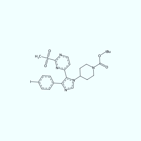 CC(C)(C)OC(=O)N1CCC(n2cnc(-c3ccc(I)cc3)c2-c2ccnc(S(C)(=O)=O)n2)CC1